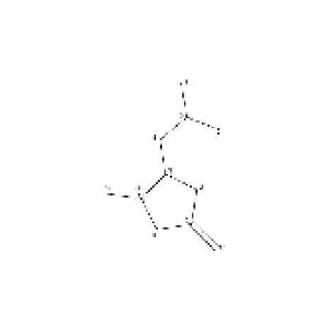 C=C1CC(CC(C)C)N(C)C1